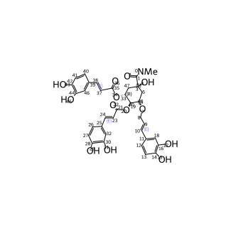 CNC(=O)[C@]1(O)C[C@@H](OC/C=C/c2ccc(O)c(O)c2)[C@@H](OC(=O)/C=C/c2ccc(O)c(O)c2)[C@H](OC(=O)/C=C/c2ccc(O)c(O)c2)C1